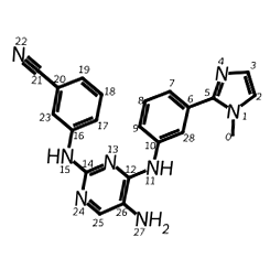 Cn1ccnc1-c1cccc(Nc2nc(Nc3cccc(C#N)c3)ncc2N)c1